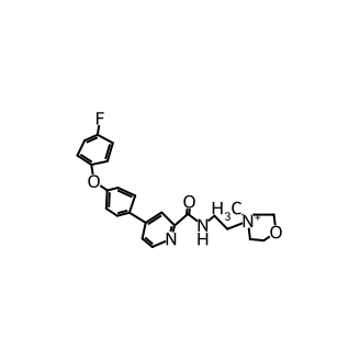 C[N+]1(CCNC(=O)c2cc(-c3ccc(Oc4ccc(F)cc4)cc3)ccn2)CCOCC1